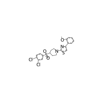 COc1ccccc1-c1csc(N2CCC(S(=O)(=O)c3ccc(Cl)c(Cl)c3)CC2)n1